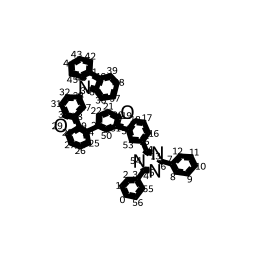 c1ccc(-c2nc(-c3ccccc3)nc(-c3ccc4oc5ccc(-c6cccc7oc8ccc(-n9c%10ccccc%10c%10ccccc%109)cc8c67)cc5c4c3)n2)cc1